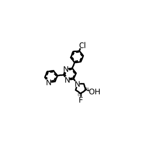 O[C@@H]1CN(c2cc(-c3ccc(Cl)cc3)nc(-c3cccnc3)n2)C[C@@H]1F